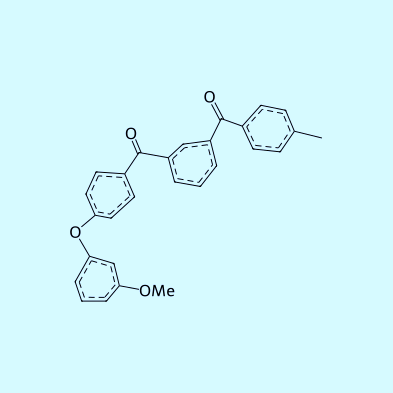 COc1cccc(Oc2ccc(C(=O)c3cccc(C(=O)c4ccc(C)cc4)c3)cc2)c1